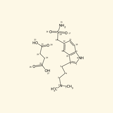 CN(C)CCCc1c[nH]c2ccc(CS(N)(=O)=O)cc12.O=C(O)CCC(=O)O